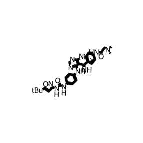 CN(C)CC(=O)Nc1ccc(C(=N)c2c(N)ncnc2Nc2ccc(NC(=O)Nc3cc(C(C)(C)C)on3)cc2)cc1